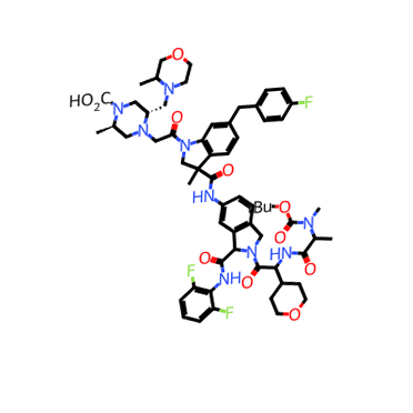 CC1COCCN1C[C@H]1CN(C(=O)O)[C@H](C)CN1CC(=O)N1CC(C)(C(=O)Nc2ccc3c(c2)C(C(=O)Nc2c(F)cccc2F)N(C(=O)C(NC(=O)C(C)N(C)C(=O)OC(C)(C)C)C2CCOCC2)C3)c2ccc(Cc3ccc(F)cc3)cc21